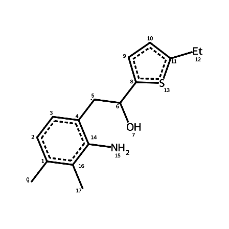 [CH2]c1ccc([CH]C(O)c2ccc(CC)s2)c(N)c1C